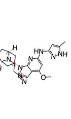 COc1cc(Nc2cc(C)[nH]n2)nc2c1cnn2[C@@H]1C[C@H]2CC[C@@H](C1)N2CCC#N